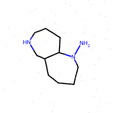 NN1CCCCC2CNCCCC21